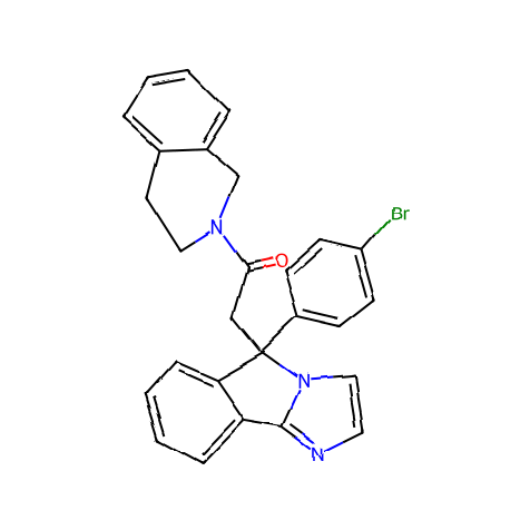 O=C(CC1(c2ccc(Br)cc2)c2ccccc2-c2nccn21)N1CCc2ccccc2C1